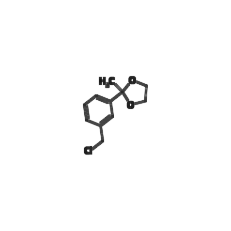 CC1(c2cccc(CCl)c2)OCCO1